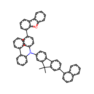 CC1(C)c2cc(-c3cccc4ccccc34)ccc2-c2ccc(N(c3ccc(-c4cccc5c4oc4ccccc45)cc3)c3ccccc3-c3ccccc3)cc21